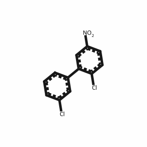 O=[N+]([O-])c1ccc(Cl)c(-c2[c]ccc(Cl)c2)c1